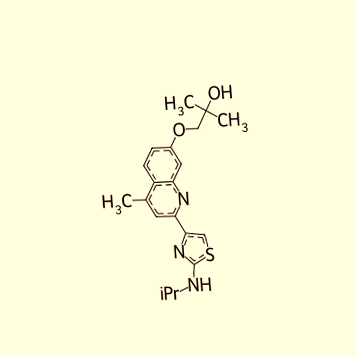 Cc1cc(-c2csc(NC(C)C)n2)nc2cc(OCC(C)(C)O)ccc12